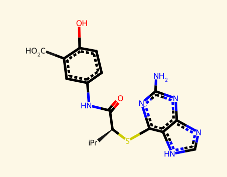 CC(C)[C@H](Sc1nc(N)nc2nc[nH]c12)C(=O)Nc1ccc(O)c(C(=O)O)c1